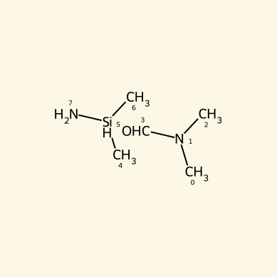 CN(C)C=O.C[SiH](C)N